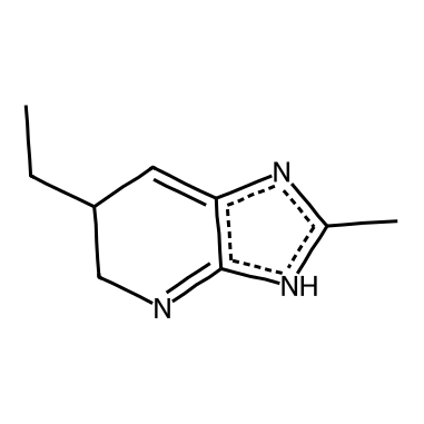 CCC1C=c2nc(C)[nH]c2=NC1